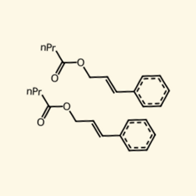 CCCC(=O)OC/C=C/c1ccccc1.CCCC(=O)OCC=Cc1ccccc1